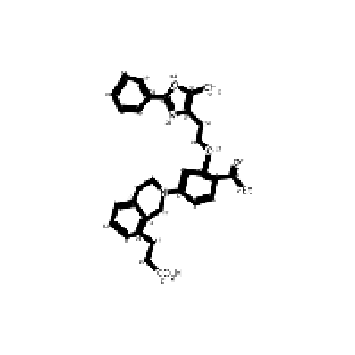 CCC(=O)c1ccc(N2CCc3cccc(CCC(=O)O)c3C2)cc1OCCc1nc(-c2ccccc2)oc1C